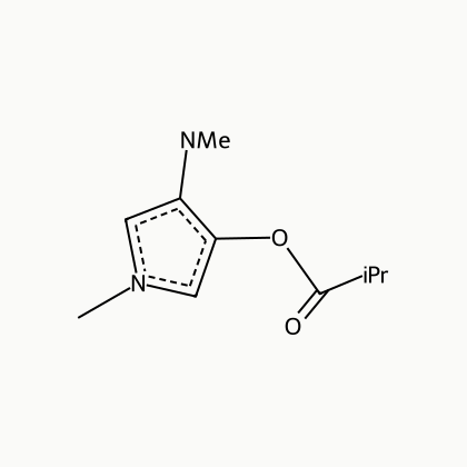 CNc1cn(C)cc1OC(=O)C(C)C